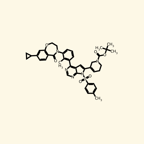 Cc1ccc(S(=O)(=O)n2c(C3=CCCN(C(=O)OC(C)(C)C)C3)cc3c(-c4cccc(N5CCOc6cc(C7CC7)ccc6C5=O)c4C)ncnc32)cc1